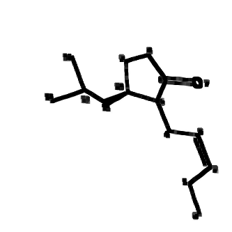 CC/C=C\CC1C(=O)CC[C@@H]1CC(C)C